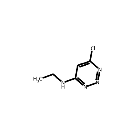 CCNc1cc(Cl)nnn1